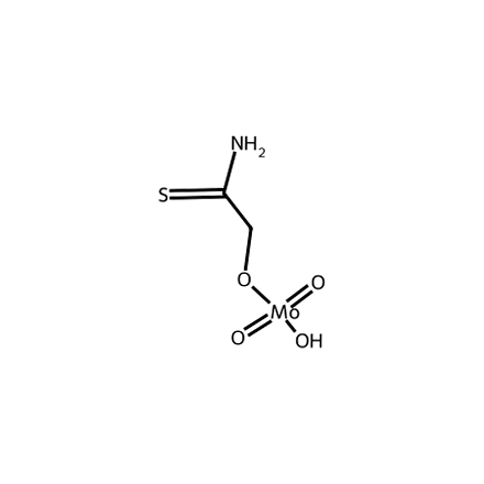 NC(=S)C[O][Mo](=[O])(=[O])[OH]